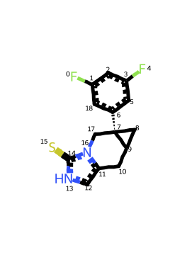 Fc1cc(F)cc([C@]23CC2Cc2c[nH]c(=S)n2C3)c1